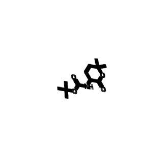 CC(C)(C)OC(=O)NC1CCC(C)(C)OC1=O